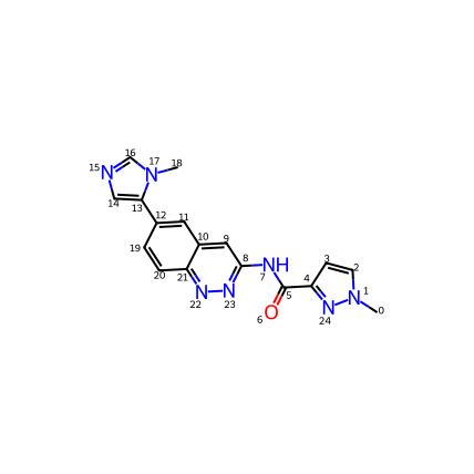 Cn1ccc(C(=O)Nc2cc3cc(-c4cncn4C)ccc3nn2)n1